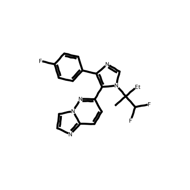 CCC(C)(C(F)F)n1cnc(-c2ccc(F)cc2)c1-c1ccc2nccn2n1